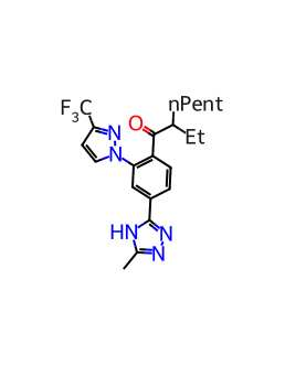 CCCCCC(CC)C(=O)c1ccc(-c2nnc(C)[nH]2)cc1-n1ccc(C(F)(F)F)n1